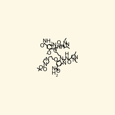 CCn1nc(C)cc1C(=O)Nc1nc2cc(C(N)=O)cc(OC)c2n1CCCCn1c(NC(=O)c2cc(C)nn2CC)nc2cc(C(N)=O)cc(OCCCN3CCN(C(=O)OC(C)(C)C)CC3)c21